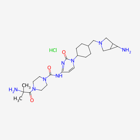 CC(C)(N)C(=O)N1CCN(C(=O)Nc2ccn(C3CCC(CN4CC5C(N)C5C4)CC3)c(=O)n2)CC1.Cl